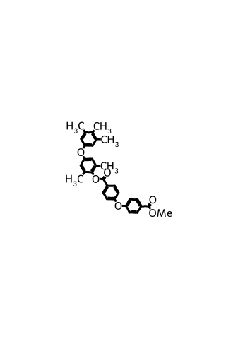 COC(=O)c1ccc(Oc2ccc(C(=O)Oc3c(C)cc(Oc4cc(C)c(C)c(C)c4)cc3C)cc2)cc1